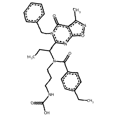 CCc1ccc(C(=O)N(CCCNC(=O)O)C(CC)c2nc3onc(C)c3c(=O)n2Cc2ccccc2)cc1